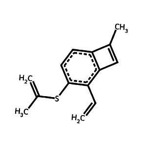 C=Cc1c(SC(=C)C)ccc2c1C=C2C